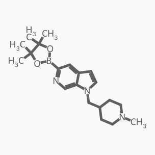 CN1CCC(Cn2ccc3cc(B4OC(C)(C)C(C)(C)O4)ncc32)CC1